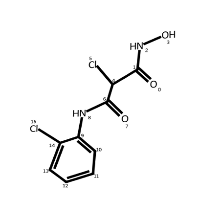 O=C(NO)C(Cl)C(=O)Nc1ccccc1Cl